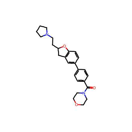 O=C(c1ccc(-c2ccc3c(c2)CC(CCN2CCCC2)O3)cc1)N1CCOCC1